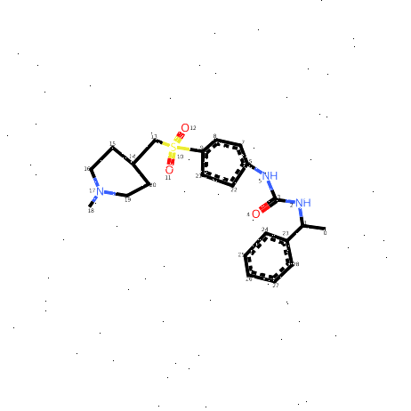 CC(NC(=O)Nc1ccc(S(=O)(=O)CC2CCN(C)CC2)cc1)c1ccccc1